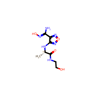 C[C@H](Nc1nonc1/C(N)=N/O)C(=O)NCCO